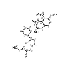 COc1ccc(CC(=O)Nc2ccccc2-c2ccc(CC(=O)OCO)s2)c(OC)c1OC